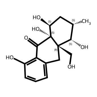 C[C@H]1C[C@H](O)[C@]2(O)C(=O)c3c(O)cccc3C[C@@]2(CO)[C@H]1O